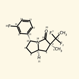 CC(F)(F)[C@@]1(C)C[C@H]2CC[C@H](c3cccc(F)c3)N2C1=O